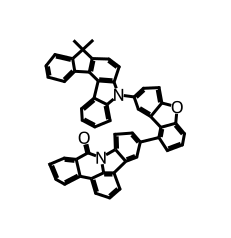 CC1(C)c2ccccc2-c2c1ccc1c2c2ccccc2n1-c1ccc2oc3cccc(-c4ccc5c(c4)c4cccc6c7ccccc7c(=O)n5c64)c3c2c1